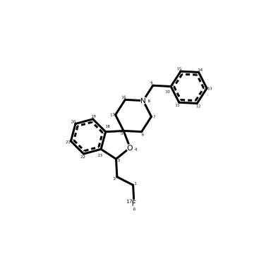 [17F]CCC1OC2(CCN(Cc3ccccc3)CC2)c2ccccc21